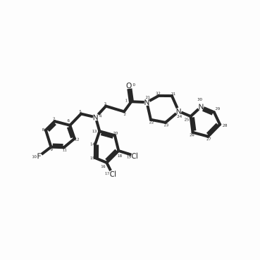 O=C(CCN(Cc1ccc(F)cc1)c1ccc(Cl)c(Cl)c1)N1CCN(c2ccccn2)CC1